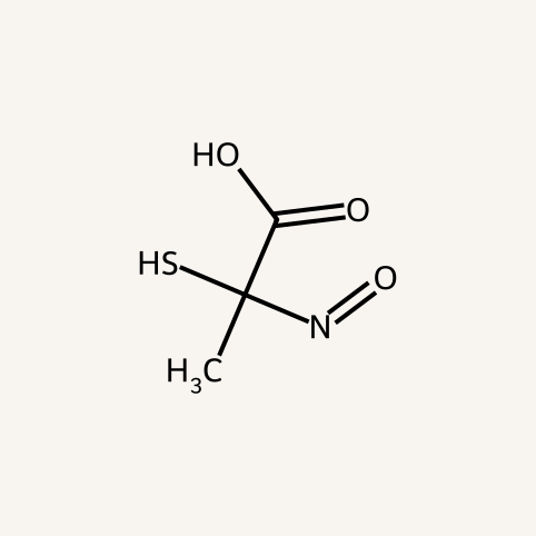 CC(S)(N=O)C(=O)O